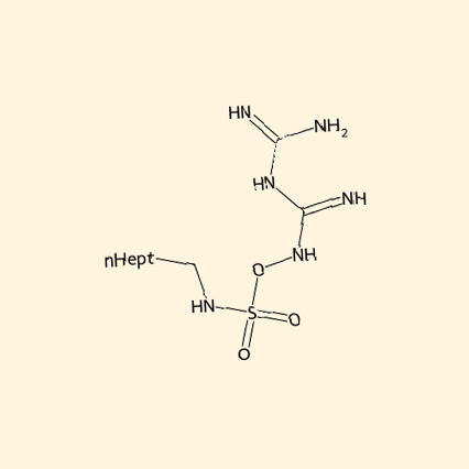 CCCCCCCCNS(=O)(=O)ONC(=N)NC(=N)N